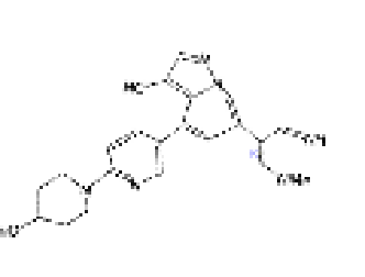 CN/C=C(\C=N)c1cc(-c2ccc(N3CCC(OCC(C)C)CC3)nc2)c2c(C#N)cnn2c1